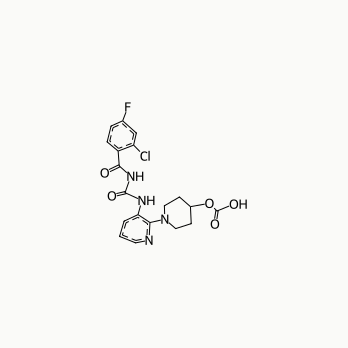 O=C(NC(=O)c1ccc(F)cc1Cl)Nc1cccnc1N1CCC(OC(=O)O)CC1